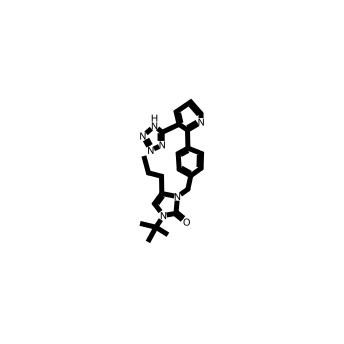 CCCc1cn(C(C)(C)C)c(=O)n1Cc1ccc(-c2ncccc2-c2nnn[nH]2)cc1